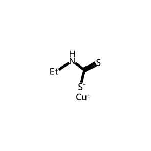 [CH2]CNC(=S)[S-].[Cu+]